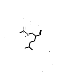 C=CC(CCC(C)C)CSNC